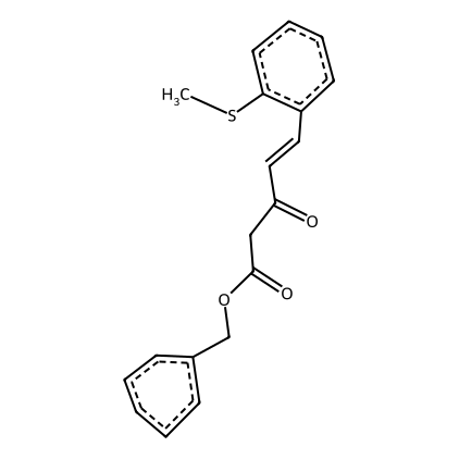 CSc1ccccc1C=CC(=O)CC(=O)OCc1ccccc1